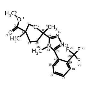 COC(=O)C1(C)CCC(C)(c2nnc(-c3ccccc3C(F)(F)F)n2C)CC1